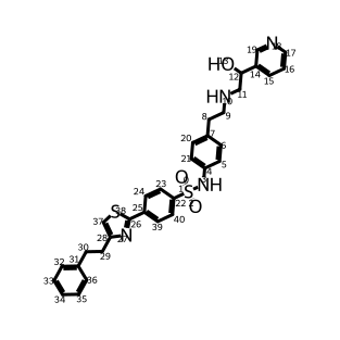 O=S(=O)(Nc1ccc(CCNCC(O)c2cccnc2)cc1)c1ccc(-c2nc(CCc3ccccc3)cs2)cc1